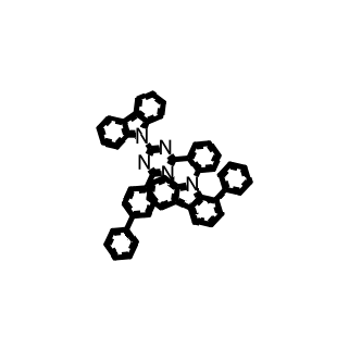 c1ccc(-c2ccc(-c3nc(-c4ccccc4-n4c5ccccc5c5cccc(-c6ccccc6)c54)nc(-n4c5ccccc5c5ccccc54)n3)cc2)cc1